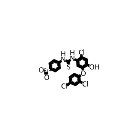 O=[N+]([O-])c1ccc(NC(=S)Nc2cc(Oc3ccc(Cl)cc3Cl)c(O)cc2Cl)cc1